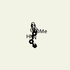 COc1cc2nc(-c3cccc(-n4cccc4)c3)[nH]c2cc1S(=O)(=O)N1CCOCC1